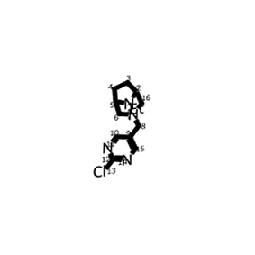 CCN1C2CCC1CN(Cc1cnc(Cl)nc1)C2